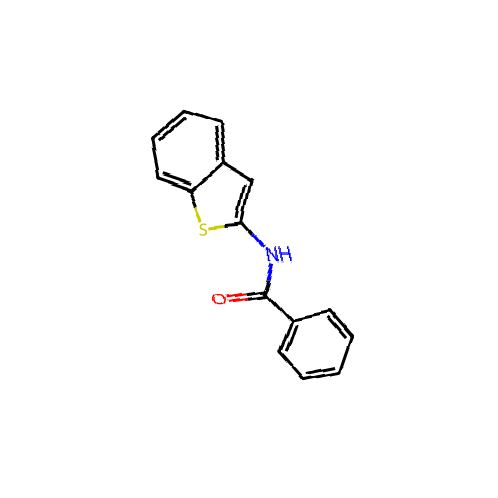 O=C(Nc1cc2ccccc2s1)c1ccccc1